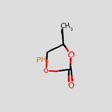 CC1COC(=O)O1.P